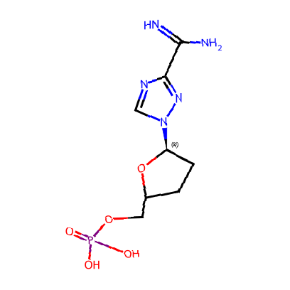 N=C(N)c1ncn([C@H]2CCC(COP(=O)(O)O)O2)n1